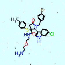 Cc1ccc(S[C@@]2(C(=O)NCCOCCN)CC(=O)N(Cc3ccc(Br)cc3)[C@H]2c2c[nH]c3cc(Cl)ccc23)cc1